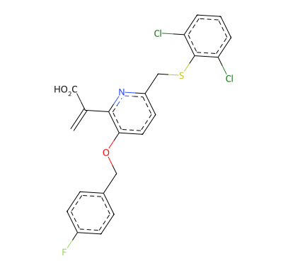 C=C(C(=O)O)c1nc(CSc2c(Cl)cccc2Cl)ccc1OCc1ccc(F)cc1